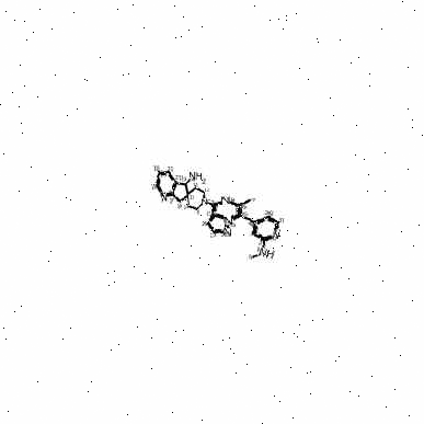 CNc1cc(-c2c(C)nc(N3CCC4(CC3)Cc3ncccc3[C@H]4N)c3ccnn23)ccn1